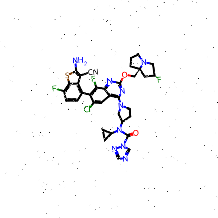 N#Cc1c(N)sc2c(F)ccc(-c3c(Cl)cc4c(N5CCC(N(C(=O)n6cncn6)C6CC6)C5)nc(OC[C@@]56CCCN5C[C@H](F)C6)nc4c3F)c12